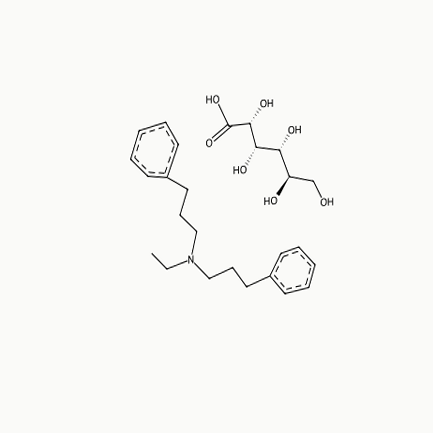 CCN(CCCc1ccccc1)CCCc1ccccc1.O=C(O)[C@H](O)[C@@H](O)[C@H](O)[C@H](O)CO